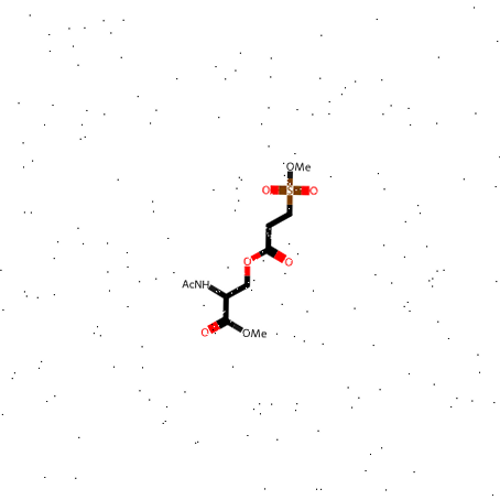 COC(=O)C(COC(=O)CCS(=O)(=O)OC)NC(C)=O